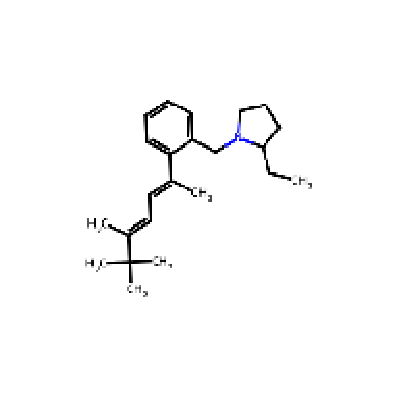 CCC1CCCN1Cc1ccccc1/C(C)=C/C=C(\C)C(C)(C)C